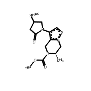 CC(=O)NC1CC(=O)N(c2cnn3c2CN(C(=O)OC(C)(C)C)[C@@H](C)C3)C1